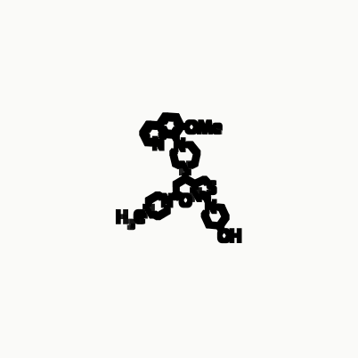 COc1ccc2cccnc2c1N1CCCN(C(CC(=O)N2CCN(C)CC2)C2CSC(N3CCC(O)CC3)=N2)CC1